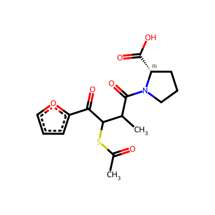 CC(=O)SC(C(=O)c1ccco1)C(C)C(=O)N1CCC[C@H]1C(=O)O